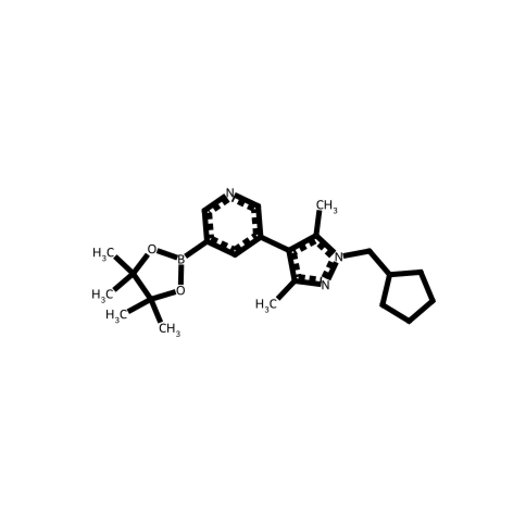 Cc1nn(CC2CCCC2)c(C)c1-c1cncc(B2OC(C)(C)C(C)(C)O2)c1